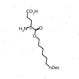 CCCCCCCCCCCCCCCCOC(=O)[C@@H](N)CCC(=O)O